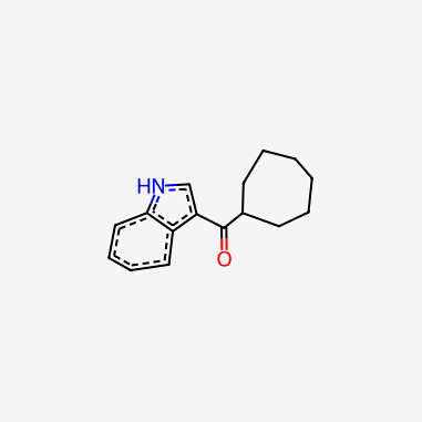 O=C(c1c[nH]c2ccccc12)C1CCCCCC1